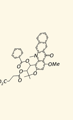 COc1cc2c(c3c1c(=O)c1cc4ccccc4cc1n3C)C(OC(=O)c1ccccc1)C(OC(=O)CCC(=O)O)C(C)(C)O2